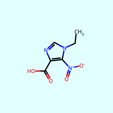 CCn1cnc(C(=O)O)c1[N+](=O)[O-]